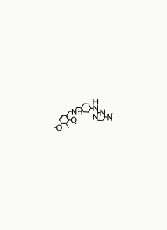 COc1ccc(CNCC2CCC(Nc3nccc(N(C)C)n3)CC2)c(OC)c1C